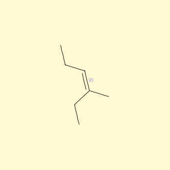 CC/C=C(/C)CC